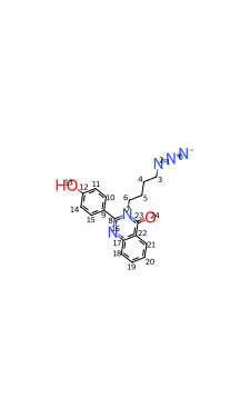 [N-]=[N+]=NCCCCn1c(-c2ccc(O)cc2)nc2ccccc2c1=O